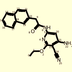 CCOc1nc(NC(=O)Cc2ccc3ccccc3c2)cc(N)c1C#N